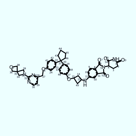 O=C1CCC(N2C(=O)c3ccc(NC4CC(Oc5ccc(C6(c7ccc(OCc8ccnc(N9CC%10(COC%10)C9)n8)cc7)CCCC6)cc5)C4)cc3C2=O)C(=O)N1